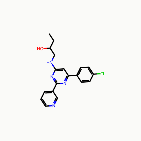 CCC(O)CNc1cc(-c2ccc(Cl)cc2)nc(-c2cccnc2)n1